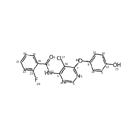 O=C(Nc1ncnc(Oc2ccc(O)cc2)c1Cl)c1ccccc1F